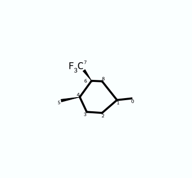 CC1CC[C@@H](C)[C@@H](C(F)(F)F)C1